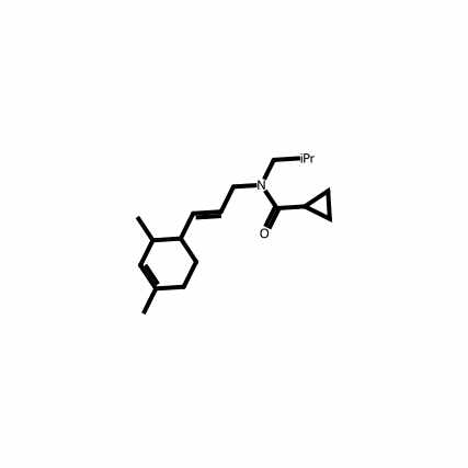 CC1=CC(C)C(/C=C/CN(CC(C)C)C(=O)C2CC2)CC1